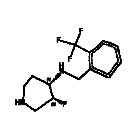 F[C@H]1CNCC[C@H]1NCc1ccccc1C(F)(F)F